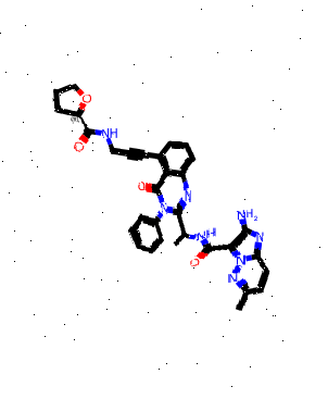 Cc1ccc2nc(N)c(C(=O)NC(C)c3nc4cccc(C#CCNC(=O)[C@H]5CCCO5)c4c(=O)n3-c3ccccc3)n2n1